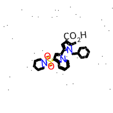 Cc1c(C(=O)O)cc(-c2cc(S(=O)(=O)N3CCCCC3)c3ccccn23)n1CC1CCCCC1